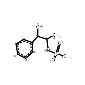 CC(NS(C)(=O)=O)C(O)c1ccccc1